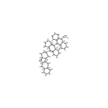 FC(F)(F)c1c2ccccc2c(-c2c3ccccc3c(-c3ccc4oc5cc6ccccc6cc5c4c3)c3ccccc23)c2ccccc12